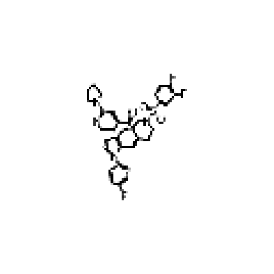 O=C(c1ccnc(N2CCCC2)c1)[C@]12Cc3cnn(-c4ccc(F)cc4)c3C=C1CCN(S(=O)(=O)c1ccc(F)c(F)c1)C2